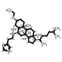 CCO[C@H]1CC[C@]2(C)[C@H]3CC[C@]4(C)[C@@H](C(C)CCCC(C)C)CC[C@H]4[C@@H]3C[C@@H](NCCc3c[nH]cn3)[C@@]2(O)C1